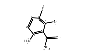 NC(=O)c1c(N)ccc(F)c1Br